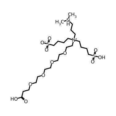 C[SiH](C)CCC[N+](CCCCS(=O)(=O)[O-])(CCCCS(=O)(=O)O)CCOCCOCCOCCOCCC(=O)O